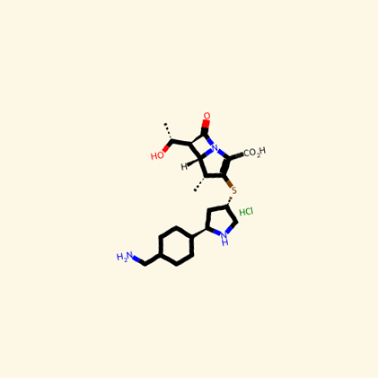 C[C@@H](O)[C@H]1C(=O)N2C(C(=O)O)=C(S[C@@H]3CN[C@@H](C4CCC(CN)CC4)C3)[C@H](C)[C@H]12.Cl